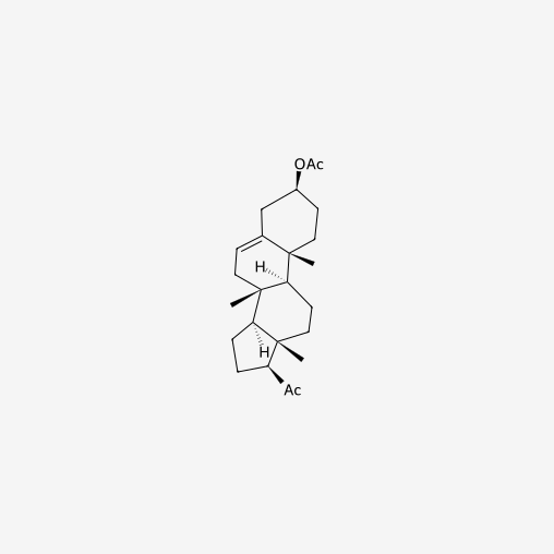 CC(=O)O[C@H]1CC[C@@]2(C)C(=CC[C@@]3(C)[C@@H]4CC[C@H](C(C)=O)[C@@]4(C)CC[C@@H]32)C1